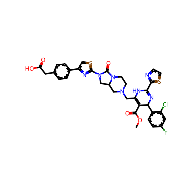 COC(=O)C1=C(CN2CCN3C(=O)N(c4nc(-c5ccc(CC(=O)O)cc5)cs4)CC3C2)NC(c2nccs2)=NC1c1ccc(F)cc1Cl